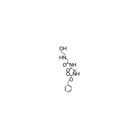 C[C@H](NC(=O)OCc1ccccc1)C(=O)NC(=O)CNCCO